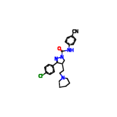 N#Cc1ccc(NC(=O)N2CC(CCN3CCCCC3)C(c3ccc(Cl)cc3)=N2)cc1